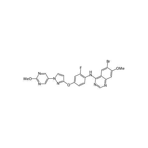 COc1ncc(-n2ccc(Oc3ccc(Nc4ncnc5cc(OC)c(Br)cc45)c(F)c3)n2)cn1